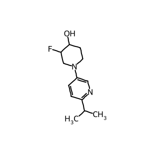 CC(C)c1ccc(N2CCC(O)C(F)C2)cn1